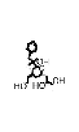 C[C@@H](O)[C@H](O)C[C@@H]1C/C(=C\CO)[C@H](C)[C@](O)(C(C)(C)Cc2ccccc2)O1